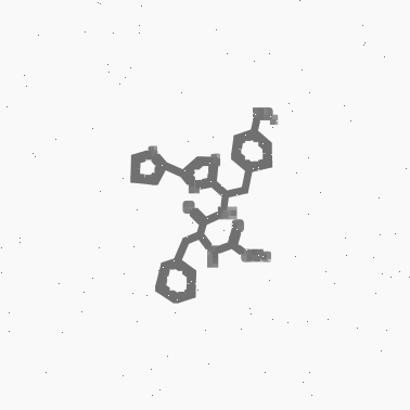 COC(=O)NC(Cc1ccccc1)C(=O)NC(Cc1ccc([N+](=O)[O-])cc1)c1nc(-c2cccs2)cs1